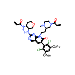 C=CC(=O)N[C@H]1CCOC[C@H]1Nc1ncc2cc(-c3c(Cl)c(OC)cc(OC)c3Cl)c(=O)n(CCC3CN(C(=O)C=C)CCN3C)c2n1